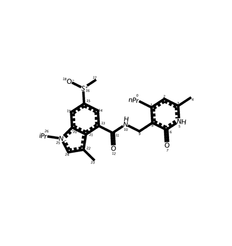 CCCc1cc(C)[nH]c(=O)c1CNC(=O)c1cc([S+](C)[O-])cc2c1c(C)cn2C(C)C